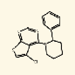 Clc1csc2ncnc(N3CCCCC3c3ccccc3)c12